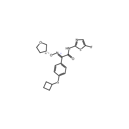 O=C(Nc1ncc(F)s1)/C(=N/O[C@@H]1CCOC1)c1ccc(SC2CCC2)cc1